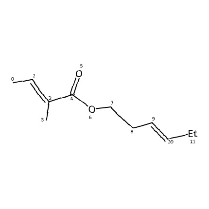 C/C=C(\C)C(=O)OCCC=CCC